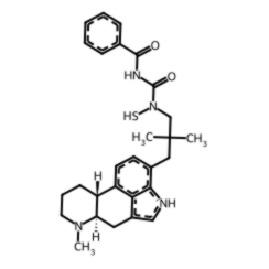 CN1CCC[C@@H]2c3ccc(CC(C)(C)CN(S)C(=O)NC(=O)c4ccccc4)c4[nH]cc(c34)C[C@H]21